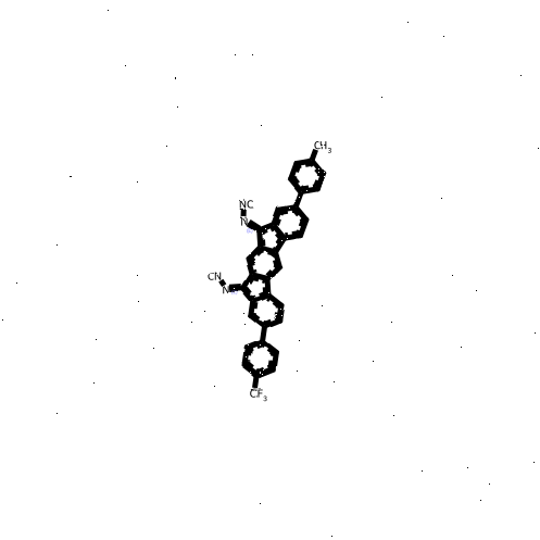 [C-]#[N+]/N=c1/c2cc(-c3ccc(C(F)(F)F)cc3)ccc2c2cc3c(cc12)/c(=N/[N+]#[C-])c1cc(-c2ccc(C)cc2)ccc13